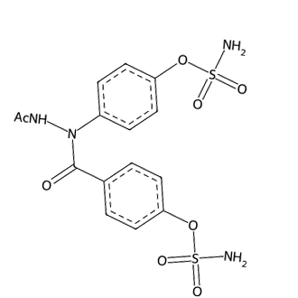 CC(=O)NN(C(=O)c1ccc(OS(N)(=O)=O)cc1)c1ccc(OS(N)(=O)=O)cc1